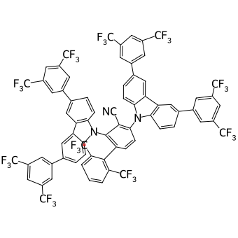 N#Cc1c(-n2c3ccc(-c4cc(C(F)(F)F)cc(C(F)(F)F)c4)cc3c3cc(-c4cc(C(F)(F)F)cc(C(F)(F)F)c4)ccc32)ccc(-c2c(C(F)(F)F)cccc2C(F)(F)F)c1-n1c2ccc(-c3cc(C(F)(F)F)cc(C(F)(F)F)c3)cc2c2cc(-c3cc(C(F)(F)F)cc(C(F)(F)F)c3)ccc21